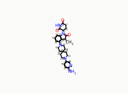 CC1C(=O)N(C2CCC(=O)NC2=O)c2cccc(N3CCC4(CCN(c5ccc(N)nc5)CC4)CC3)c21